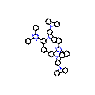 c1ccc(-c2nc(-c3ccccc3)nc(-c3cc(-c4cccc(-c5ccc(-n6c7ccccc7c7cc(-n8c9ccccc9c9ccccc98)ccc76)c(-c6nc(-c7ccccc7)nc(-c7ccccc7)n6)c5)c4)cc(-n4c5ccccc5c5cc(-n6c7ccccc7c7ccccc76)ccc54)c3)n2)cc1